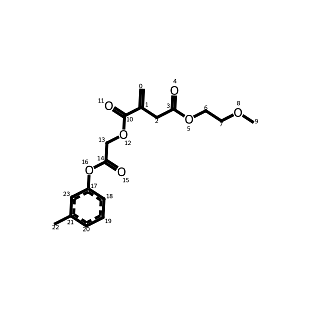 C=C(CC(=O)OCCOC)C(=O)OCC(=O)Oc1cccc(C)c1